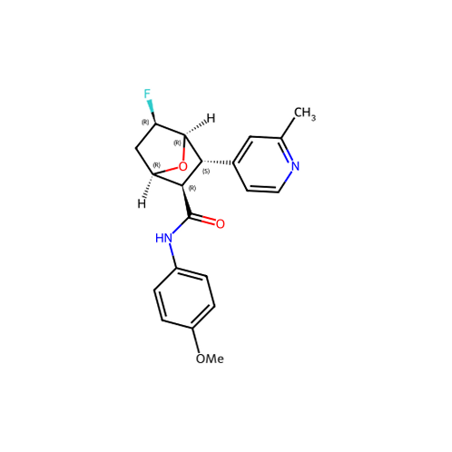 COc1ccc(NC(=O)[C@@H]2[C@@H](c3ccnc(C)c3)[C@H]3O[C@@H]2C[C@H]3F)cc1